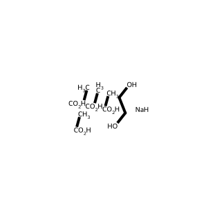 CC(=O)O.CC(=O)O.CC(=O)O.CC(=O)O.OCCO.[NaH]